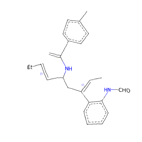 C=C(NC(/C=C/CC)C/C(=C/C)c1ccccc1NC=O)c1ccc(C)cc1